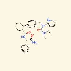 CCN(CC)C(=O)N(Cc1ccc([C@@H]2CCCC[C@H]2C(=O)N[C@H](C(N)=O)c2ccccc2)cc1)c1ccccn1